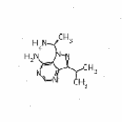 CC(C)c1nn(C(C)N)c2c(N)ncnc12